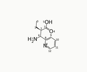 CC[C@@H](C(=O)O)C(N)c1ccccn1